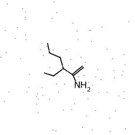 C=C(N)C(CC)CCC